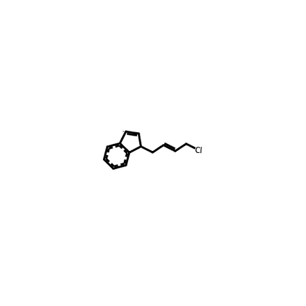 ClCC=CCC1C=[C]c2ccccc21